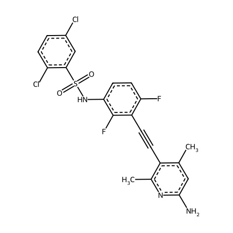 Cc1cc(N)nc(C)c1C#Cc1c(F)ccc(NS(=O)(=O)c2cc(Cl)ccc2Cl)c1F